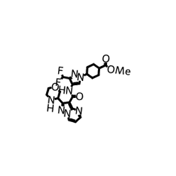 COC(=O)C1CCC(n2cc(NC(=O)c3c(C4COCCN4)nn4cccnc34)c(C(F)F)n2)CC1